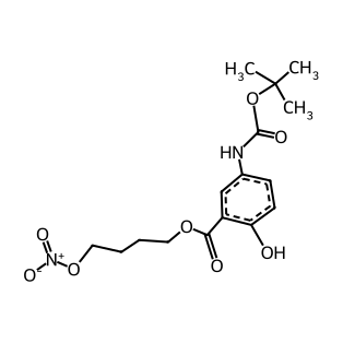 CC(C)(C)OC(=O)Nc1ccc(O)c(C(=O)OCCCCO[N+](=O)[O-])c1